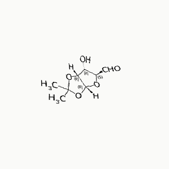 CC1(C)O[C@H]2O[C@H](C=O)[C@@H](O)[C@H]2O1